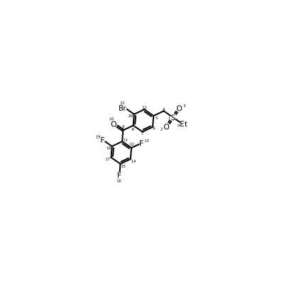 CCS(=O)(=O)Cc1ccc(C(=O)c2c(F)cc(F)cc2F)c(Br)c1